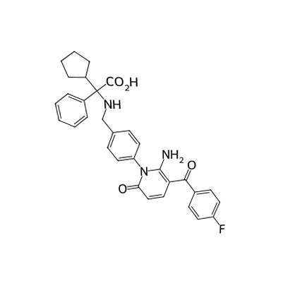 Nc1c(C(=O)c2ccc(F)cc2)ccc(=O)n1-c1ccc(CNC(C(=O)O)(c2ccccc2)C2CCCC2)cc1